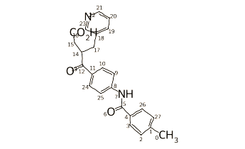 Cc1ccc(C(=O)Nc2ccc(C(=O)C(CC(=O)O)Cc3cccnc3)cc2)cc1